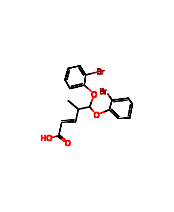 CC(C=CC(=O)O)C(Oc1ccccc1Br)Oc1ccccc1Br